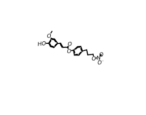 COc1cc(/C=C/C(=O)Oc2ccc(CCCO[N+](=O)[O-])cc2)ccc1O